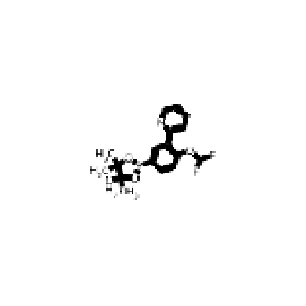 CC1(C)OB(c2ccc(OC(F)F)c(-c3ccccn3)c2)OC1(C)C